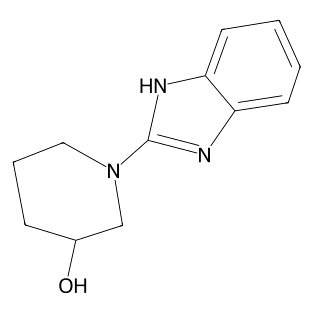 OC1CCCN(c2nc3ccccc3[nH]2)C1